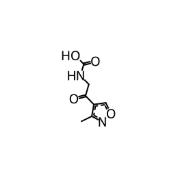 Cc1nocc1C(=O)CNC(=O)O